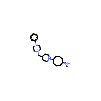 CNC1CCCC(N2CCC(CN3CCN(c4ccccc4)CC3)CC2)CCC1